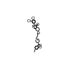 O=c1c2c(cnn1-c1ccc(Cl)c(Cl)c1)CC(OCCCN1CCC(c3noc4cc(F)ccc34)CC1)CC2